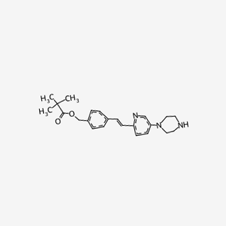 CC(C)(C)C(=O)OCc1ccc(C=Cc2ccc(N3CCNCC3)cn2)cc1